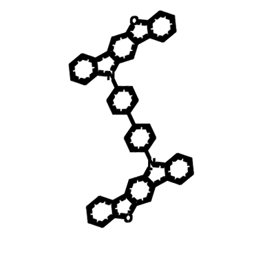 c1ccc2c(c1)oc1cc3c4ccccc4n(-c4ccc(-c5ccc(-n6c7ccccc7c7cc8oc9ccccc9c8cc76)cc5)cc4)c3cc12